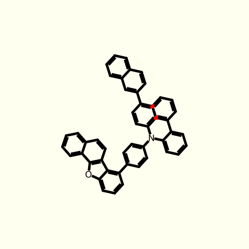 c1ccc(-c2ccccc2N(c2ccc(-c3ccc4ccccc4c3)cc2)c2ccc(-c3cccc4oc5c6ccccc6ccc5c34)cc2)cc1